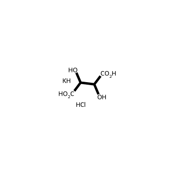 Cl.O=C(O)C(O)C(O)C(=O)O.[KH]